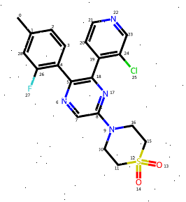 Cc1ccc(-c2ncc(N3CCS(=O)(=O)CC3)nc2-c2ccncc2Cl)c(F)c1